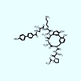 CCCCc1ccc(-c2ccc(C(=O)NC[C@@H](C)C(=O)N[C@@H](CCCCN)C(=O)N(C)[C@@H]3C(=O)N[C@@H](N)C(=O)N[C@H](C(=O)N[C@@H](N)C(=O)N4CCC[C@H]4C(N)=O)Cc4ccc(O)c(c4)-c4cc3ccc4O)cc2)cc1